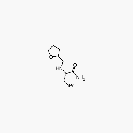 CC(C)C[C@H](NCC1CCCO1)C(N)=O